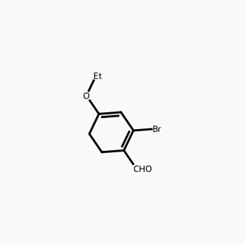 CCOC1=CC(Br)=C(C=O)CC1